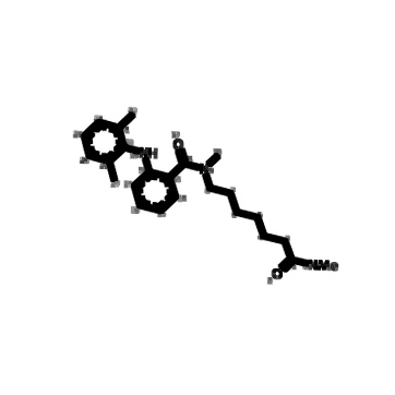 CNC(=O)CCCCCCN(C)C(=O)c1ccccc1Nc1c(C)cccc1C